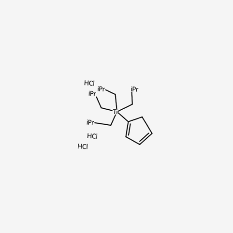 CC(C)[CH2][Ti]([CH2]C(C)C)([CH2]C(C)C)([CH2]C(C)C)[C]1=CC=CC1.Cl.Cl.Cl